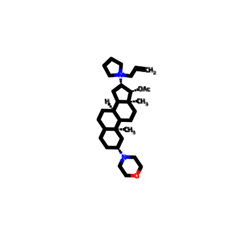 C=CC[N+]1([C@H]2CC3[C@@H]4CCC5CC[C@@H](N6CCOCC6)C[C@]5(C)C4CC[C@]3(C)[C@H]2OC(C)=O)CCCC1